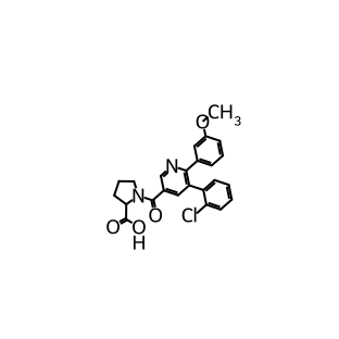 COc1cccc(-c2ncc(C(=O)N3CCCC3C(=O)O)cc2-c2ccccc2Cl)c1